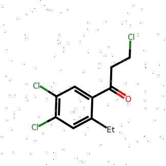 CCc1cc(Cl)c(Cl)cc1C(=O)CCCl